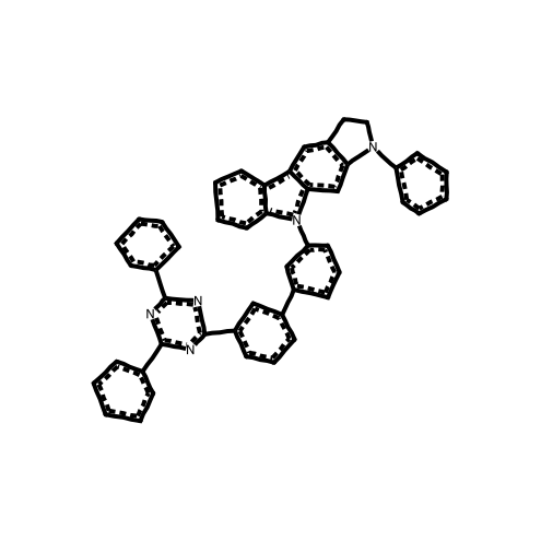 c1ccc(-c2nc(-c3ccccc3)nc(-c3cccc(-c4cccc(-n5c6ccccc6c6cc7c(cc65)N(c5ccccc5)CC7)c4)c3)n2)cc1